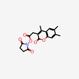 Cc1cc2oc(=O)c(CC(=O)ON3C(=O)CCC3=O)c(C)c2cc1C